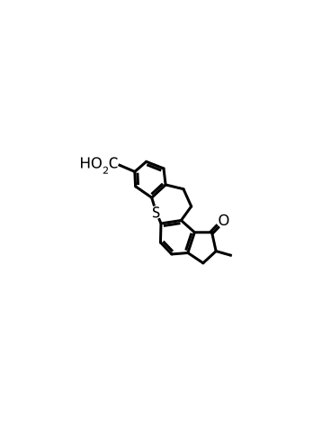 CC1Cc2ccc3c(c2C1=O)CCc1ccc(C(=O)O)cc1S3